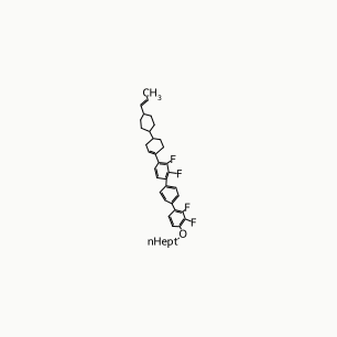 C/C=C/C1CCC(C2CC=C(c3ccc(-c4ccc(-c5ccc(OCCCCCCC)c(F)c5F)cc4)c(F)c3F)CC2)CC1